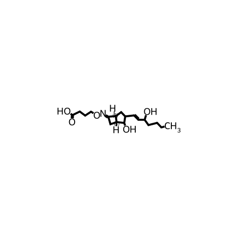 CCCCC(O)C=CC1C[C@@H]2C(=NOCCCC(=O)O)C[C@H]2C1O